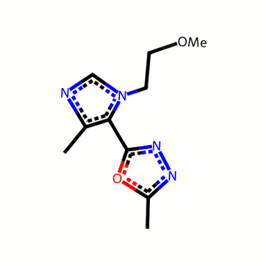 COCCn1cnc(C)c1-c1nnc(C)o1